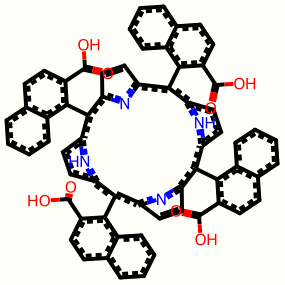 O=C(O)c1ccc2ccccc2c1-c1c2nc(c(-c3c(C(=O)O)ccc4ccccc34)c3ccc([nH]3)c(-c3c(C(=O)O)ccc4ccccc34)c3nc(c(-c4c(C(=O)O)ccc5ccccc45)c4ccc1[nH]4)C=C3)C=C2